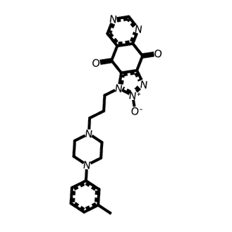 Cc1cccc(N2CCN(CCCn3c4c(n[n+]3[O-])C(=O)c3ncncc3C4=O)CC2)c1